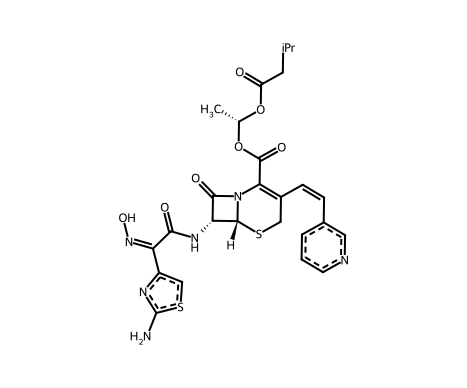 CC(C)CC(=O)O[C@@H](C)OC(=O)C1=C(/C=C\c2cccnc2)CS[C@@H]2[C@H](NC(=O)/C(=N\O)c3csc(N)n3)C(=O)N12